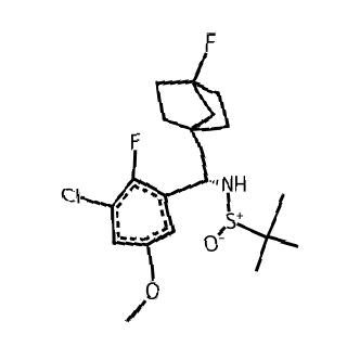 COc1cc(Cl)c(F)c([C@@H](N[S+]([O-])C(C)(C)C)C23CCC(F)(CC2)C3)c1